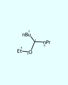 [CH2]CCC(CCCC)OCC